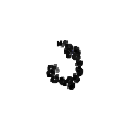 Cc1ccc2c(c1)SC(=O)/C2=C1/C(=O)Sc2cc(-c3ccc(-c4ccc(-c5ccc(-c6ccc(-c7ccc(-c8ccc(-c9ccc(C)s9)s8)s7)c7nsnc67)s5)s4)s3)ccc21